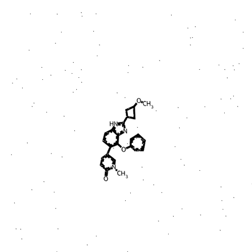 COC1CC(c2nc3c(Oc4ccccc4)c(-c4ccc(=O)n(C)c4)ccc3[nH]2)C1